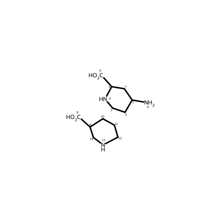 NC1CCNC(C(=O)O)C1.O=C(O)C1CCCNC1